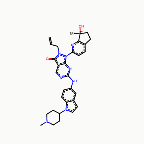 C=CCn1c(=O)c2cnc(Nc3ccc4c(ccn4C4CCN(C)CC4)c3)nc2n1-c1ccc2c(n1)[C@@](O)(CC)CC2